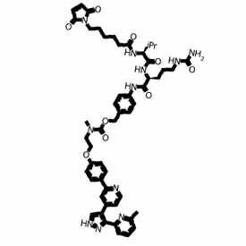 Cc1cccc(-c2n[nH]cc2-c2ccnc(-c3ccc(OCCN(C)C(=O)OCc4ccc(NC(=O)[C@H](CCCNC(N)=O)NC(=O)[C@@H](NC(=O)CCCCCN5C(=O)C=CC5=O)C(C)C)cc4)cc3)c2)n1